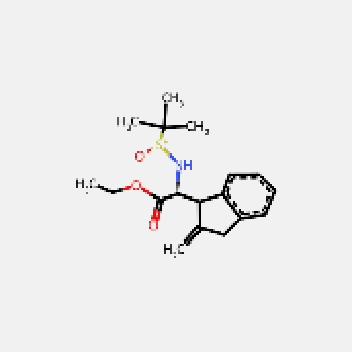 C=C1Cc2ccccc2C1[C@H](N[S@+]([O-])C(C)(C)C)C(=O)OCC